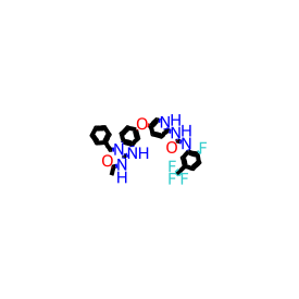 CC(=O)NC1Nc2cc(Oc3ccc(NC(=O)Nc4cc(C(F)(F)F)ccc4F)nc3)ccc2N1Cc1ccccc1